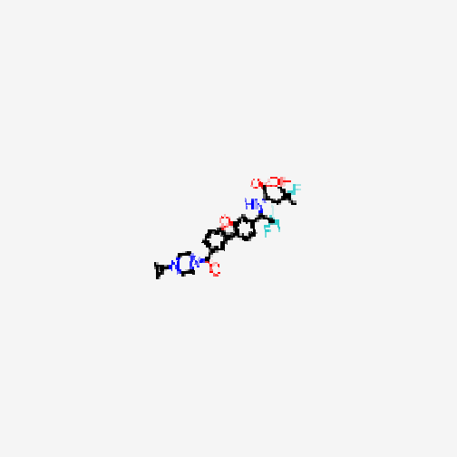 CC(C)(F)CC(NC(c1ccc2c(c1)oc1ccc(C(=O)N3CCN(C4CC4)CC3)cc12)C(F)(F)F)C(=O)O